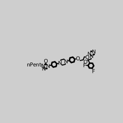 CCCCCn1ncn(-c2ccc(N3CCN(c4ccc(OCC5COC(Cn6cncn6)(c6ccc(F)cc6F)O5)cc4)CC3)cc2)c1=O